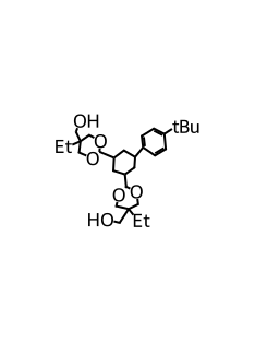 CCC1(CO)COC(C2CC(c3ccc(C(C)(C)C)cc3)CC(C3OCC(CC)(CO)CO3)C2)OC1